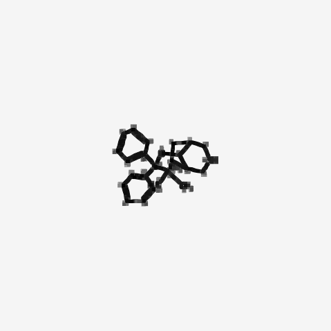 CC(C)(C)[Si](OC1C2CCC1CNC2)(c1ccccc1)c1ccccc1